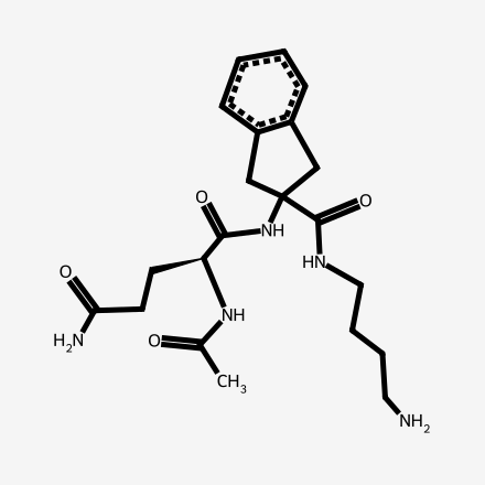 CC(=O)N[C@@H](CCC(N)=O)C(=O)NC1(C(=O)NCCCCN)Cc2ccccc2C1